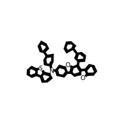 c1ccc(-c2ccc(N(c3ccc4c(c3)oc3c(-c5cccc(-c6ccccc6)c5)c5c(cc34)oc3ccccc35)c3cccc4c3sc3ccccc34)cc2)cc1